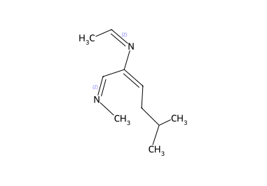 C/C=N\C(=CCC(C)C)/C=N\C